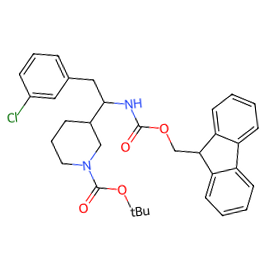 CC(C)(C)OC(=O)N1CCCC(C(Cc2cccc(Cl)c2)NC(=O)OCC2c3ccccc3-c3ccccc32)C1